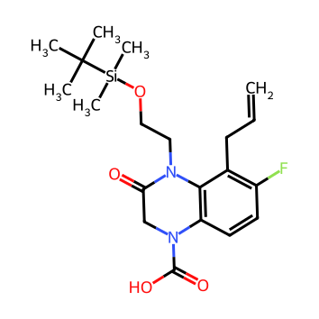 C=CCc1c(F)ccc2c1N(CCO[Si](C)(C)C(C)(C)C)C(=O)CN2C(=O)O